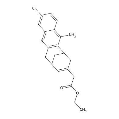 CCOC(=O)CC1=CC2Cc3nc4cc(Cl)ccc4c(N)c3C(C1)C2